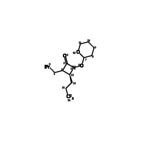 CC(C)CC1C(=O)N(OC2CCCCO2)[C@H]1CCC(F)(F)F